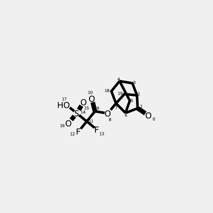 O=C1C2CC3CC1C(OC(=O)C(F)(F)S(=O)(=O)O)(C3)C2